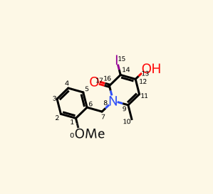 COc1ccccc1Cn1c(C)cc(O)c(I)c1=O